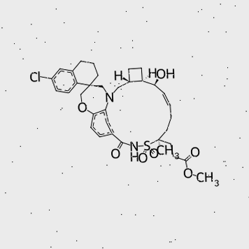 COC(=O)CC[C@]1(C)CC/C=C\[C@H](O)[C@@H]2CC[C@H]2CN2C[C@@]3(CCCc4cc(Cl)ccc43)COc3ccc(cc32)C(=O)NS1(=O)=O